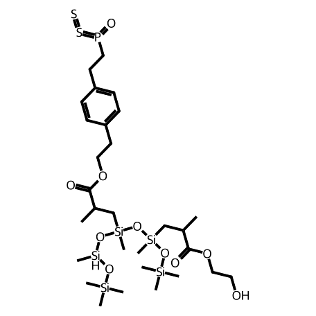 CC(C[Si](C)(O[SiH](C)O[Si](C)(C)C)O[Si](C)(CC(C)C(=O)OCCO)O[Si](C)(C)C)C(=O)OCCc1ccc(CCP(=O)=S=S)cc1